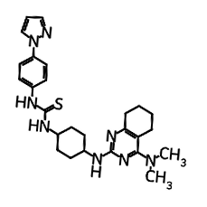 CN(C)c1nc(NC2CCC(NC(=S)Nc3ccc(-n4cccn4)cc3)CC2)nc2c1CCCC2